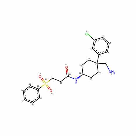 NC[C@]1(c2cccc(Cl)c2)CC[C@H](NC(=O)CCS(=O)(=O)c2ccccc2)CC1